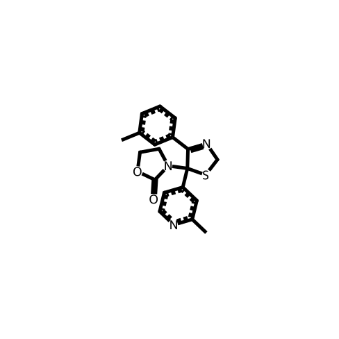 Cc1cccc(C2=NCSC2(c2ccnc(C)c2)N2CCOC2=O)c1